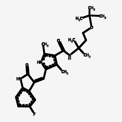 Cc1[nH]c(/C=C2\C(=O)Nc3ccc(F)cc32)c(C)c1C(=O)NC(C)(C)CCOC(C)(C)C